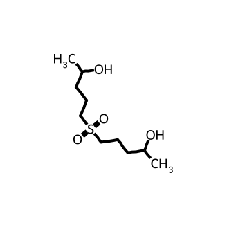 CC(O)CCCS(=O)(=O)CCCC(C)O